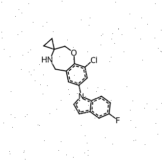 Fc1ccc2c(ccn2-c2cc(Cl)c3c(c2)CNC2(CC2)CO3)c1